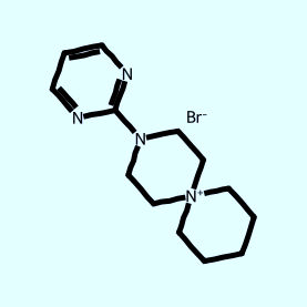 [Br-].c1cnc(N2CC[N+]3(CCCCC3)CC2)nc1